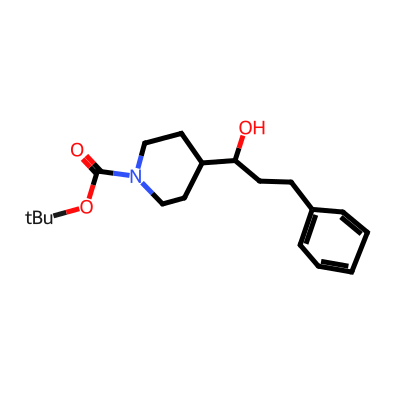 CC(C)(C)OC(=O)N1CCC(C(O)CCc2ccccc2)CC1